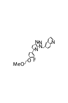 COCCOc1ccc(-c2ccc3nnn(Cc4ccc5ncccc5c4)c3n2)cc1F